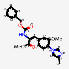 COC(=O)/C(=C\c1ccc(-n2cnc(C)c2)c(OC)c1)NC(=O)OCc1ccccc1